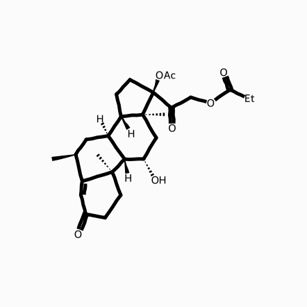 CCC(=O)OCC(=O)[C@@]1(OC(C)=O)CC[C@H]2[C@@H]3C[C@H](C)C4=CC(=O)CC[C@]4(C)[C@H]3[C@@H](O)C[C@@]21C